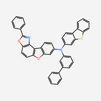 c1ccc(-c2cccc(N(c3ccc4c(c3)oc3ccc5oc(-c6ccccc6)nc5c34)c3ccc4c(c3)sc3ccccc34)c2)cc1